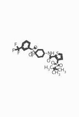 CC(C)(C)S(=O)(=O)c1ccsc1C(=O)N[C@H]1CC[C@](F)(S(=O)(=O)c2cccc(C(F)(F)F)c2)CC1